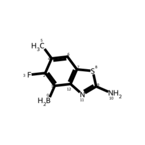 Bc1c(F)c(C)cc2sc(N)nc12